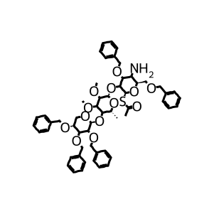 COC1C(OC)[C@H](OC2C(OCc3ccccc3)C(N)[C@@H](COCc3ccccc3)O[C@H]2SC(C)=O)O[C@H](C)C1O[C@@H]1OC[C@@H](OCc2ccccc2)C(OCc2ccccc2)C1OCc1ccccc1